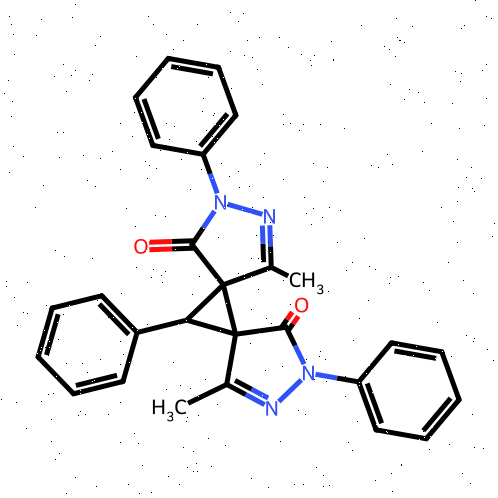 CC1=NN(c2ccccc2)C(=O)C12C(c1ccccc1)C21C(=O)N(c2ccccc2)N=C1C